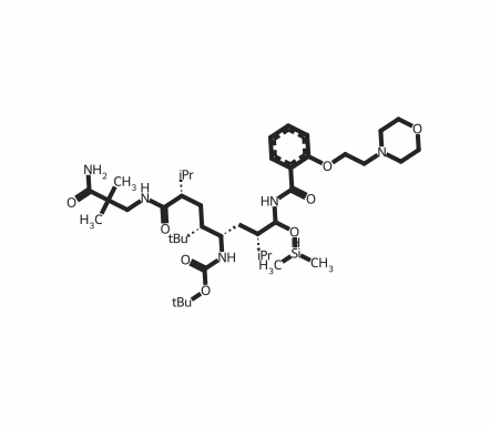 CC(C)[C@H](C[C@H](NC(=O)OC(C)(C)C)[C@@H](C[C@H](C(=O)NCC(C)(C)C(N)=O)C(C)C)C(C)(C)C)C(NC(=O)c1ccccc1OCCN1CCOCC1)O[SiH](C)C